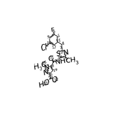 Cc1nc(Cc2cc(F)cc(Cl)c2)sc1NC(=O)c1cc(C(=O)O)nn1C